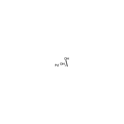 CO.O.[Pd]